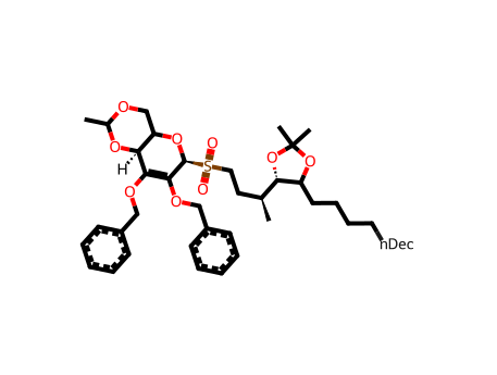 CCCCCCCCCCCCCCC1OC(C)(C)O[C@H]1[C@@H](C)CCS(=O)(=O)[C@@H]1OC2COC(C)O[C@@H]2C(OCc2ccccc2)=C1OCc1ccccc1